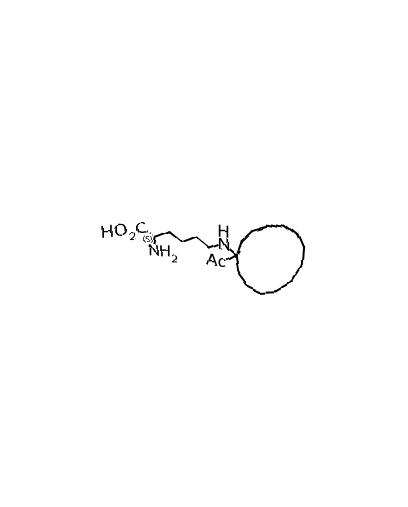 CC(=O)C1(NCCCC[C@H](N)C(=O)O)CCCCCCCCCCCC1